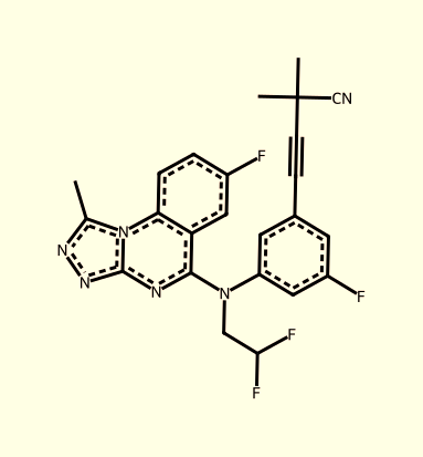 Cc1nnc2nc(N(CC(F)F)c3cc(F)cc(C#CC(C)(C)C#N)c3)c3cc(F)ccc3n12